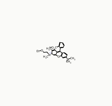 CCOCC/[N+](C)=c1/cc2oc3cc(N(C)C)ccc3c(-c3ccccc3C(=O)O)c-2cc1C